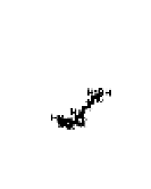 O=C(CCCCCCNc1cccc(-c2ccc3cc[nH]c3c2)c1)NO